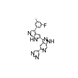 Cc1cc(F)cc(-c2cncc3[nH]c(-c4n[nH]c5cnc(-c6cncnc6)cc45)cc23)c1